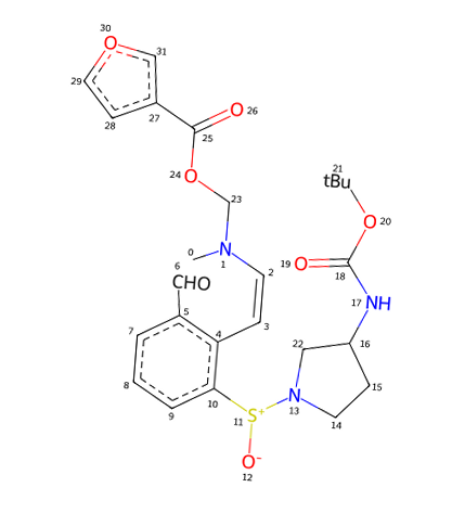 CN(/C=C\c1c(C=O)cccc1[S+]([O-])N1CCC(NC(=O)OC(C)(C)C)C1)COC(=O)c1ccoc1